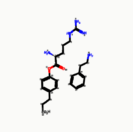 N=C(N)NCCC[C@@H](N)C(=O)Oc1ccc(CCC(=O)O)cc1.NCCc1ccccc1